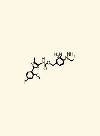 CCN(N)c1ccc(COC(=O)Nc2sc(-c3ccc(F)cc3OC)nc2C)cc1N